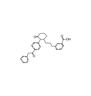 O=C(O)c1cccc(CCCC2CCCC(=O)C2c2ccc(C(=O)Cc3ccccc3)cc2)c1